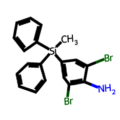 C[Si](c1ccccc1)(c1ccccc1)c1cc(Br)c(N)c(Br)c1